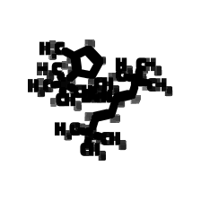 CC1=[C]([Ti]([CH3])([CH3])([CH3])[CH3])CC=C1.CNC.C[Si](C)(C)C=CC=C[Si](C)(C)C